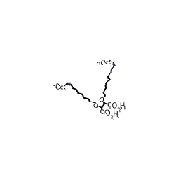 CCCCCCCC/C=C\CCCCCCCCOC(C(=O)O)C(OCCCCCCCC/C=C\CCCCCCCC)C(=O)O